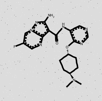 CN(C)[C@H]1CC[C@H](Oc2ncncc2NC(=O)c2c(N)nn3cc(F)cnc23)CC1